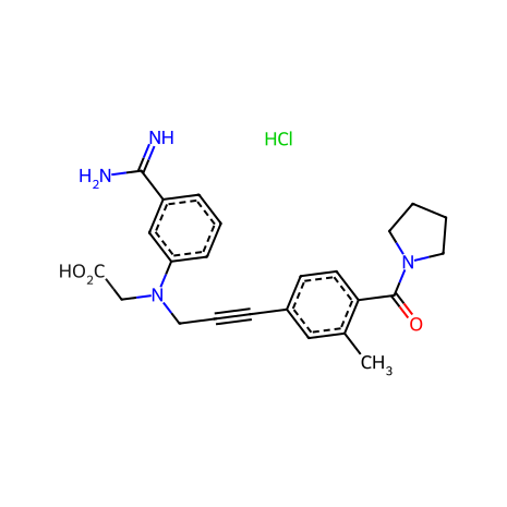 Cc1cc(C#CCN(CC(=O)O)c2cccc(C(=N)N)c2)ccc1C(=O)N1CCCC1.Cl